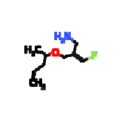 C=CCC(C)OC/C(=C/F)CN